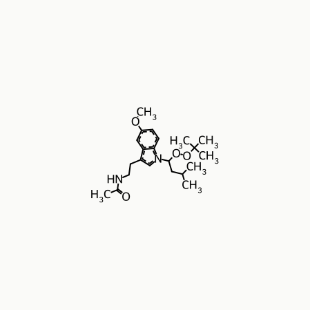 COc1ccc2c(c1)c(CCNC(C)=O)cn2C(CC(C)C)OOC(C)(C)C